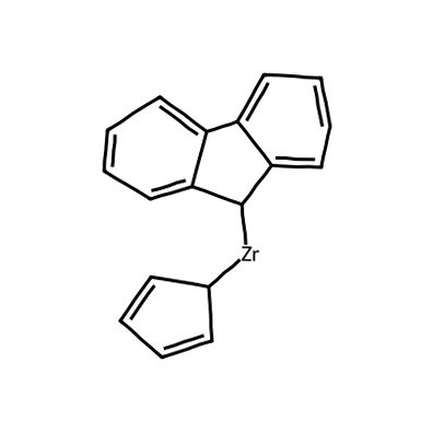 C1=C[CH]([Zr][CH]2c3ccccc3-c3ccccc32)C=C1